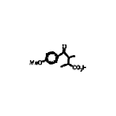 COc1ccc(C(=O)C(C)C(C)C(=O)O)cc1